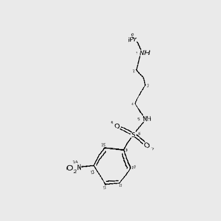 CC(C)NCCCNS(=O)(=O)c1cccc([N+](=O)[O-])c1